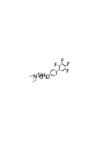 CCN(CC)[SiH2]OCOc1ccc(-c2cc(F)c(F)c(F)c2F)cc1